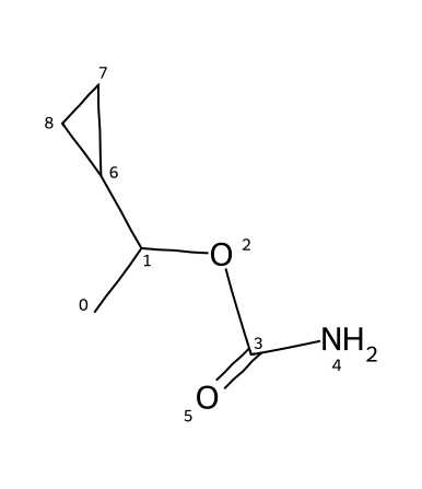 CC(OC(N)=O)C1CC1